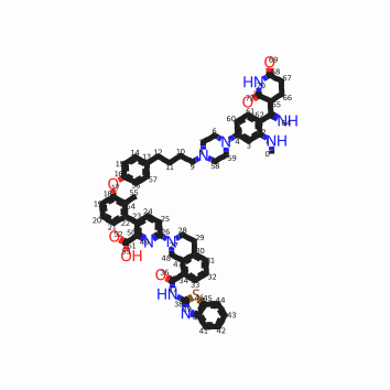 CNc1cc(N2CCN(CCCCc3ccc(Oc4cccc(-c5ccc(N6CCc7cccc(C(=O)Nc8nc9ccccc9s8)c7C6)nc5C(=O)O)c4C)cc3)CC2)ccc1C(=N)C1CCC(=O)NC1=O